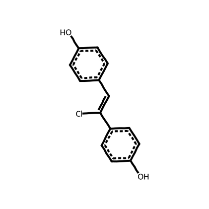 Oc1ccc(C=C(Cl)c2ccc(O)cc2)cc1